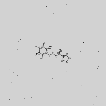 CC1=C(C)C(=O)C(CCCC(=O)N2CCCC2)=C(C)C1=O